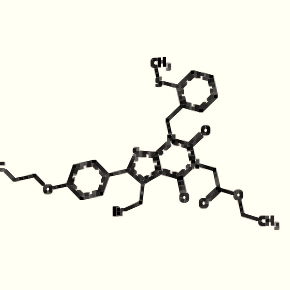 CCCOc1ccc(-c2sc3c(c2CBr)c(=O)n(CC(=O)OCC)c(=O)n3Cc2ccccc2SC)cc1